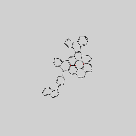 c1ccc(-c2c(-c3ccccc3)c3cc(-c4ccccc4N(c4ccc(-c5cccc6ccccc56)cc4)c4ccc5c(ccc6ccccc65)c4)ccc3c3ccccc23)cc1